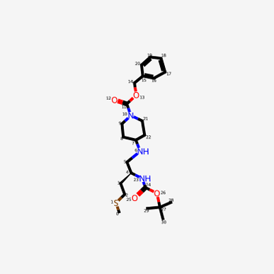 CSCC[C@@H](CNC1CCN(C(=O)OCc2ccccc2)CC1)NC(=O)OC(C)(C)C